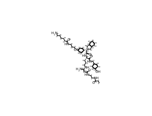 CCC(=O)NCCNC(=O)/N=C(/N)NCCC[C@@H](NC(=O)[C@H](c1ccc(OCCCNC(=O)CCCCCN)cc1)N1Cc2ccccc2C1)C(=O)NCc1ccc(O)cc1